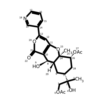 CC(=O)OCC(C)(O)[C@@H]1C[C@@H]2[C@@H](O)c3c(cc(-c4cccnc4)oc3=O)O[C@@]2(C)[C@H](OC(C)=O)C1